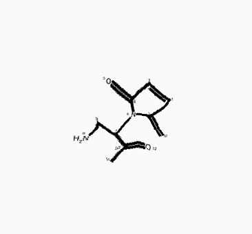 C=C1C=CC(=O)N1C(CN)C(C)=O